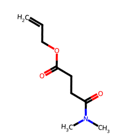 C=CCOC(=O)CCC(=O)N(C)C